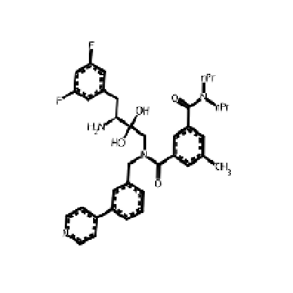 CCCN(CCC)C(=O)c1cc(C)cc(C(=O)N(Cc2cccc(-c3ccncc3)c2)CC(O)(O)[C@@H](N)Cc2cc(F)cc(F)c2)c1